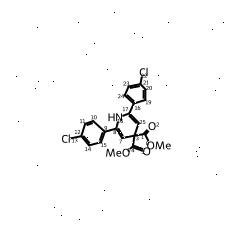 COC(=O)C1(C(=O)OC)C=C(c2ccc(Cl)cc2)NC(c2ccc(Cl)cc2)=C1